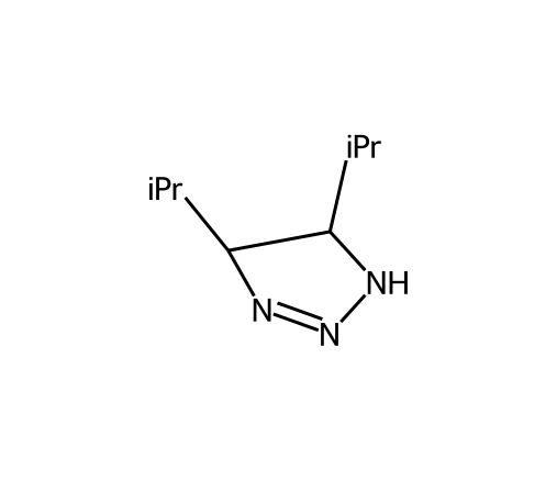 CC(C)C1N=NNC1C(C)C